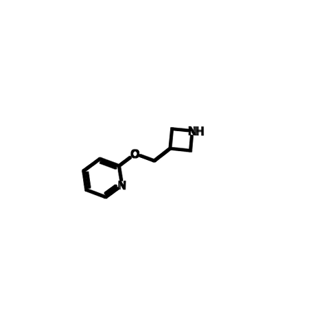 c1ccc(OCC2CNC2)nc1